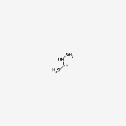 [SiH3]NN[SiH3]